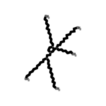 CCCCCCCCCCCCCN(CCCCCCCCCCCC)CCN1CCN(CCCCCCCCCCCCC)C(N(CCCCCCC)CCCCCCCCCCCC)C1